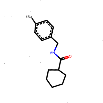 CC(C)(C)c1ccc(CNC(=O)C2CCCCC2)cc1